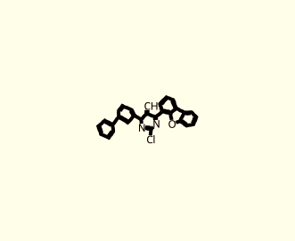 C=C1C(c2cccc3c2oc2ccccc23)=NC(Cl)=NC1c1cccc(-c2ccccc2)c1